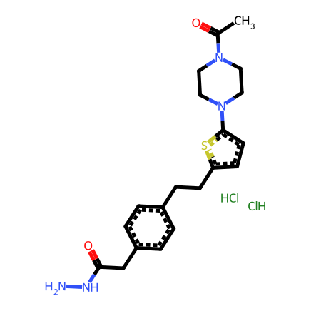 CC(=O)N1CCN(c2ccc(CCc3ccc(CC(=O)NN)cc3)s2)CC1.Cl.Cl